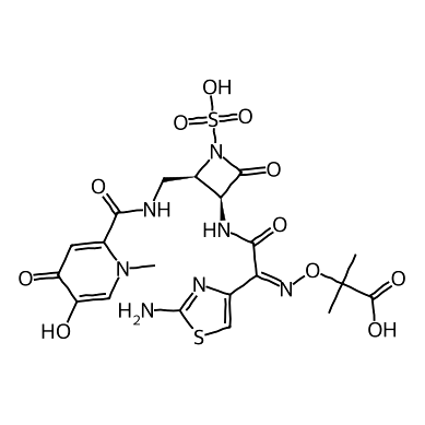 Cn1cc(O)c(=O)cc1C(=O)NC[C@@H]1[C@H](NC(=O)/C(=N\OC(C)(C)C(=O)O)c2csc(N)n2)C(=O)N1S(=O)(=O)O